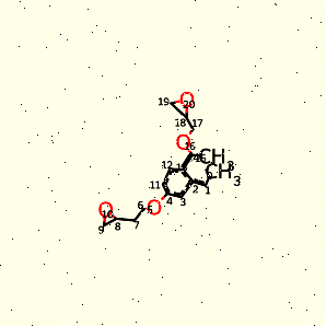 C/C=c1/cc(OCCC2CO2)cc/c1=C(/C)OCC1CO1